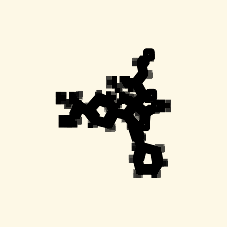 N=C(N)c1ccc(C(C#Cc2ccccc2)C(N)(C(=O)O)C(=O)C(N)CC=O)cc1